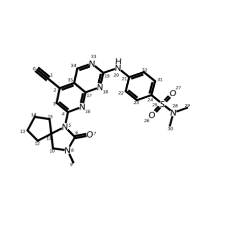 C#Cc1cc(N2C(=O)N(C)CC23CCCC3)nc2nc(Nc3ccc(S(=O)(=O)N(C)C)cc3)ncc12